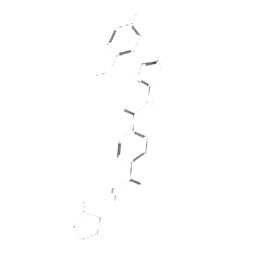 CCOc1ccc(CC)cc1-c1csc(NC(=O)c2ccc(C(=O)NC[C@@H]3CCCN3CC)cc2)n1